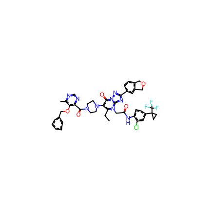 CCc1c(N2CCN(C(=O)c3ncnc(C)c3OCc3ccccc3)CC2)c(=O)n2nc(-c3ccc4c(c3)COC4)nc2n1CC(=O)Nc1ccc(C2(C(F)(F)F)CC2)cc1Cl